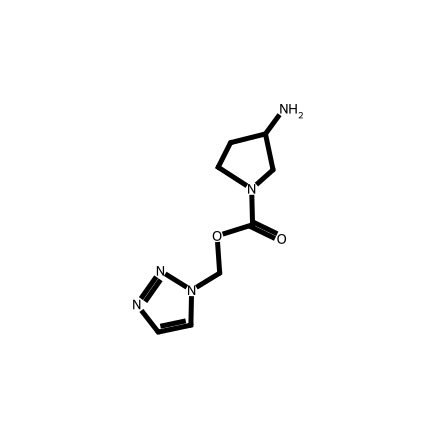 NC1CCN(C(=O)OCn2ccnn2)C1